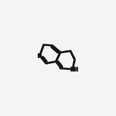 [C]1=C2C=NCC=C2CCN1